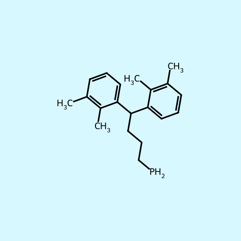 Cc1cccc(C(CCCP)c2cccc(C)c2C)c1C